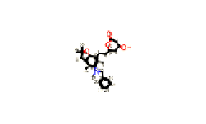 Cc1c(CCC2CC(O)CC(=O)O2)c2c(c(C)c1N(C)Cc1ccccc1)CC(C)(C)O2